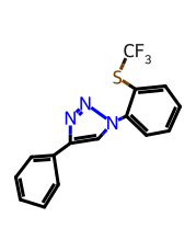 FC(F)(F)Sc1ccccc1-n1cc(-c2ccccc2)nn1